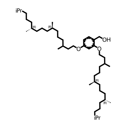 CC(C)CCC[C@@H](C)CCC[C@@H](C)CCCC(C)CCOc1ccc(CO)c(OCCC(C)CCC[C@H](C)CCC[C@H](C)CCCC(C)C)c1